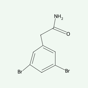 NC(=O)Cc1cc(Br)cc(Br)c1